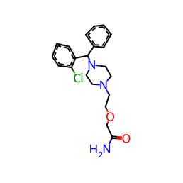 NC(=O)COCCN1CCN(C(c2ccccc2)c2ccccc2Cl)CC1